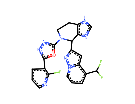 Fc1ncccc1-c1nnc(N2CCc3[nH]cnc3C2c2cc3c(C(F)F)cccn3n2)o1